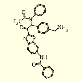 NCc1ccc(C(C(=O)c2nc3ccc(NC(=O)c4ccccc4)cc3s2)N(C(=O)C(F)(F)F)c2ccccc2)cc1